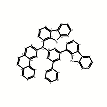 c1ccc(-c2cc(-c3cccc4c3oc3ccccc34)cc(N(c3ccc4ccc5ccccc5c4c3)c3cccc4c3oc3ccccc34)c2)cc1